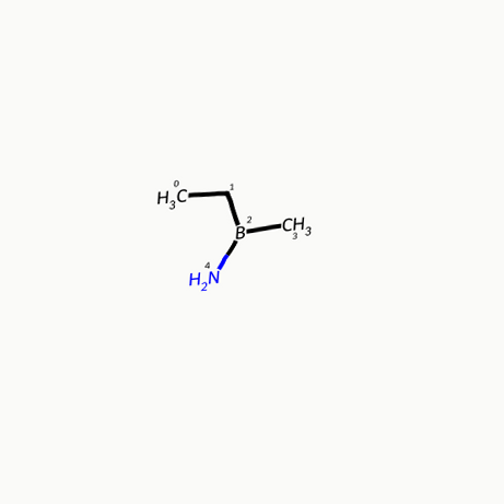 CCB(C)N